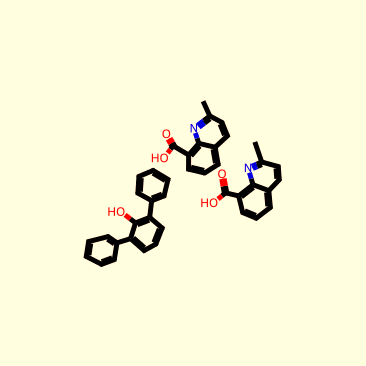 Cc1ccc2cccc(C(=O)O)c2n1.Cc1ccc2cccc(C(=O)O)c2n1.Oc1c(-c2ccccc2)cccc1-c1ccccc1